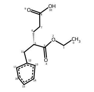 CCOC(=O)[C@@H](CCC(=O)O)Cc1ccccc1